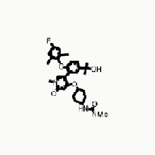 CNC(=O)N[C@H]1CC[C@H](Oc2cc(=O)n(C)cc2-c2cc(C(C)(C)O)ccc2Oc2c(C)cc(F)cc2C)CC1